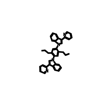 CCCc1cc(-n2cc(-c3ccccn3)c3ccccc32)c(CCC)cc1-n1cc(-c2ccccn2)c2ccccc21